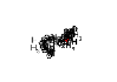 Cc1ccc(OCc2cccc(NC(=O)C(C)NC(=O)C(C)NC(=O)CCN3C(=O)C=CC3=O)c2)c(F)c1[C@@H]1O[C@@H]2C[C@H]3[C@@H]4CCC5=CC(=O)C=C[C@]5(C)[C@H]4[C@@H](O)C[C@]3(C)[C@]2(C(=O)CO)O1